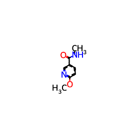 CNC(=O)c1ccc(OC)nc1